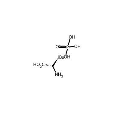 CC[C@H](C)[C@H](N)C(=O)O.O=P(O)(O)O